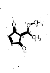 COC(C)=C1C(=O)C=CC1=O